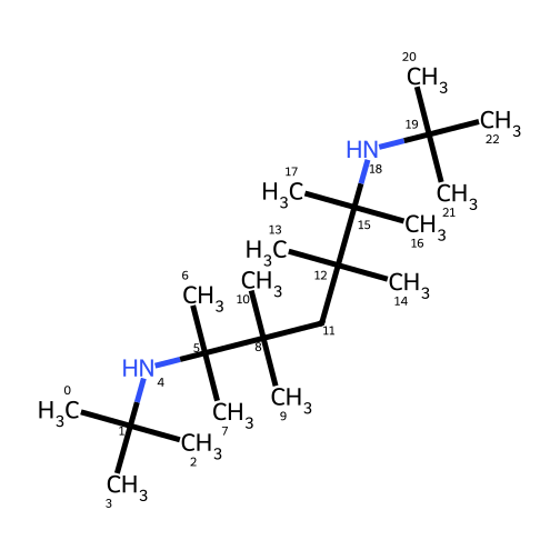 CC(C)(C)NC(C)(C)C(C)(C)CC(C)(C)C(C)(C)NC(C)(C)C